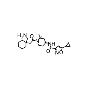 C[C@H]1C[C@H](NC(=O)c2cc(C3CC3)on2)CCN1C(=O)CC1(CN)CCCCC1